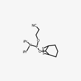 CC(C)N(C(C)C)P(OCCC#N)OC1C2CCCC1SS2